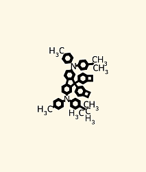 Cc1ccc(N(c2ccc(C(C)C)cc2)c2ccc3c(c2)C(c2ccc4c(c2)CC4)(c2ccc4c(c2)CC4)c2cc(N(c4ccc(C)cc4)c4ccc(C(C)(C)C)cc4)ccc2-3)cc1